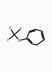 FC(F)(F)OC1=CCC=CC=C1